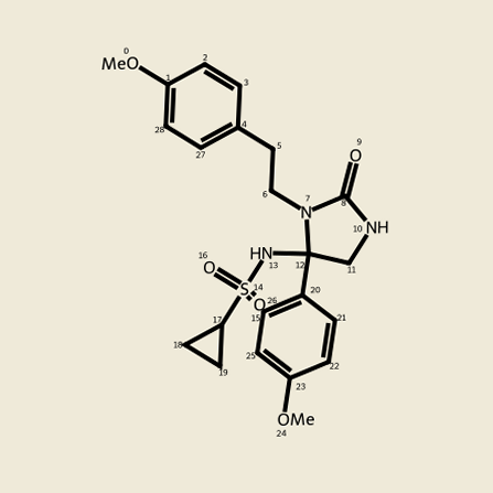 COc1ccc(CCN2C(=O)NCC2(NS(=O)(=O)C2CC2)c2ccc(OC)cc2)cc1